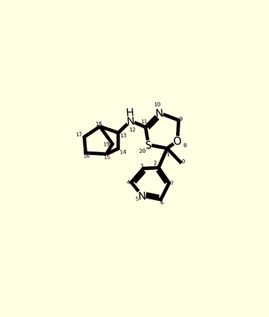 CC1(c2ccncc2)OCN=C(NC2CC3CCC2C3)S1